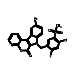 CCc1ccc2c(c1)c1c3cccnc3oc(=O)c1n2Cc1cc(S(C)(=O)=O)c(Cl)cc1F